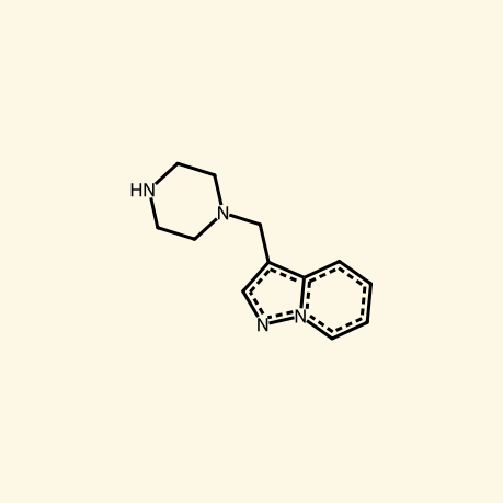 c1ccn2ncc(CN3CCNCC3)c2c1